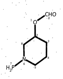 O=COC1CCCN(P)C1